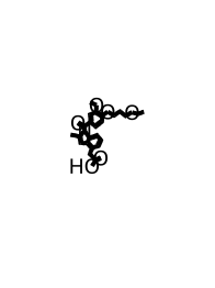 CCOCCCOc1ccc(C(=O)n2c(C)cc3c(CC(=O)O)cccc32)cc1OC